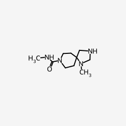 CNC(=O)N1CCC2(CC1)CNCN2C